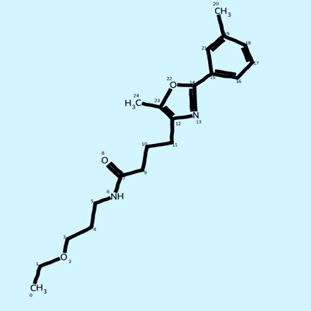 CCOCCCNC(=O)CCCc1nc(-c2cccc(C)c2)oc1C